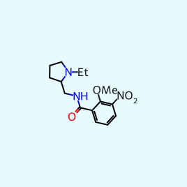 CCN1CCCC1CNC(=O)c1cccc([N+](=O)[O-])c1OC